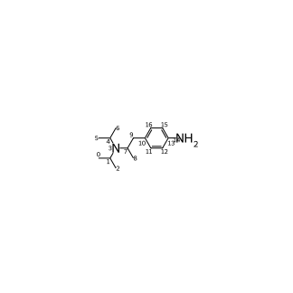 CC(C)N(C(C)C)C(C)Cc1ccc(N)cc1